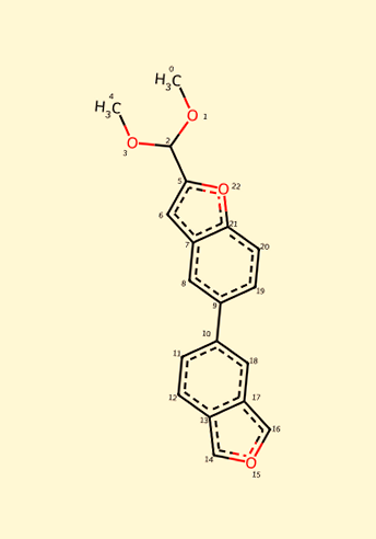 COC(OC)c1cc2cc(-c3ccc4cocc4c3)ccc2o1